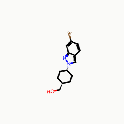 OC[C@H]1CC[C@H](n2cc3ccc(Br)cc3n2)CC1